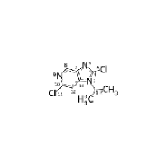 CC(C)n1c(Cl)nc2cnc(Cl)cc21